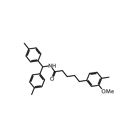 COc1cc(CCCCC(=O)NC(c2ccc(C)cc2)c2ccc(C)cc2)ccc1C